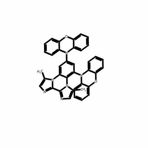 Cc1cnc2c3ncc(C)n3c3c(N4c5ccccc5Oc5ccccc54)cc(N4c5ccccc5Oc5ccccc54)cc3n12